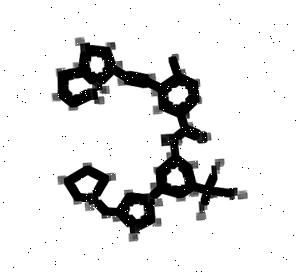 Cc1ccc(C(=O)Nc2cc(-n3cnc(CN4CCCC4)c3)cc(C(F)(F)F)c2)cc1C#Cc1cnc2cccnn12